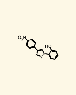 O=[N+]([O-])c1ccc(-c2cn(-c3ccccc3O)nn2)cc1